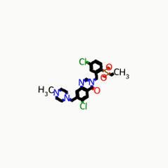 CCS(=O)(=O)c1ccc(Cl)cc1Cn1cnc2cc(CN3CCN(C)CC3)c(Cl)cc2c1=O